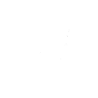 NC(=O)C1=C(O)CC2CC3Cc4c(-c5occc5CN5CCC(F)(F)CC5)ccc(O)c4C(=O)C3=C(O)C2C1(O)O